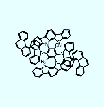 N#Cc1c(-n2c3ccccc3c3ccccc32)c(-n2c3cc(-c4cccc5ccc6ccccc6c45)ccc3c3ccc4c5ccccc5sc4c32)c(C#N)c(-n2c3ccccc3c3ccccc32)c1-n1c2cc(-c3cccc4ccc5ccccc5c34)ccc2c2ccc3c4ccccc4sc3c21